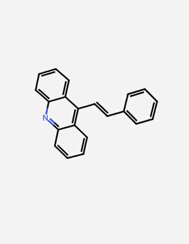 C(=Cc1c2ccccc2nc2ccccc12)c1ccccc1